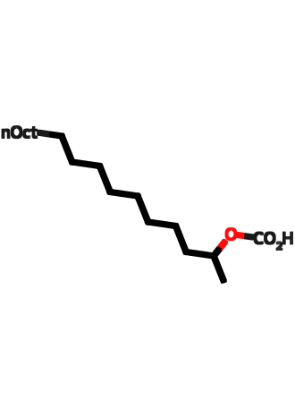 CCCCCCCCCCCCCCCCC(C)OC(=O)O